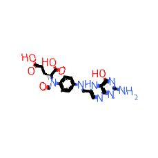 Nc1nc(O)c2nc(CNc3ccc(N(C=O)[C@@H](CCC(=O)O)C(=O)O)cc3)cnc2n1